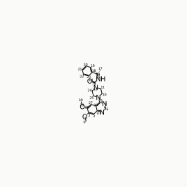 COc1cc2ncnc(N3CCN(C(=O)N[C@@H](C)c4ccccc4)CC3)c2cc1OC